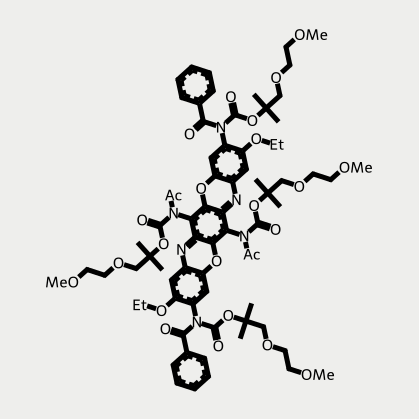 CCOc1cc2c(cc1N(C(=O)OC(C)(C)COCCOC)C(=O)c1ccccc1)Oc1c(N(C(C)=O)C(=O)OC(C)(C)COCCOC)c3c(c(N(C(C)=O)C(=O)OC(C)(C)COCCOC)c1=N2)Oc1cc(N(C(=O)OC(C)(C)COCCOC)C(=O)c2ccccc2)c(OCC)cc1N=3